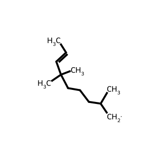 [CH2]C(C)CCCC(C)(C)/C=C/C